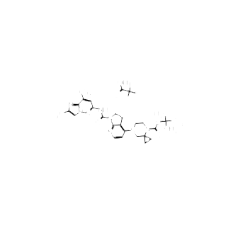 Cc1cn2nc(NC(=O)N3CCc4c(N5CCN(C(=O)OC(C)(C)C)C6(CC6)C5)ccnc43)cc(C)c2n1.O=C(O)C(F)(F)F